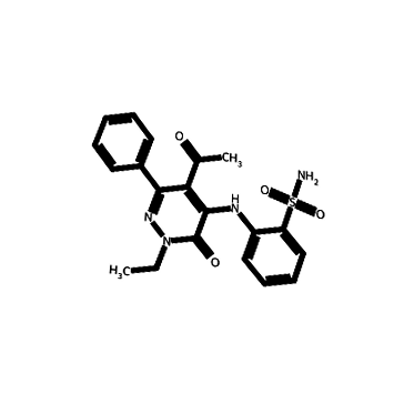 CCn1nc(-c2ccccc2)c(C(C)=O)c(Nc2ccccc2S(N)(=O)=O)c1=O